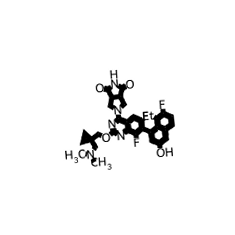 CCc1c(F)ccc2cc(O)cc(-c3c(F)cc4c(N5CC6C(=O)NC(=O)C6C5)nc(OCC5(CN(C)C)CC5)nc4c3F)c12